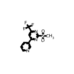 CS(=O)(=O)c1nc(-c2cccnc2)cc(C(F)(F)F)n1